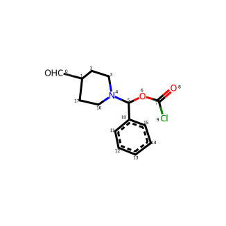 O=CC1CCN(C(OC(=O)Cl)c2ccccc2)CC1